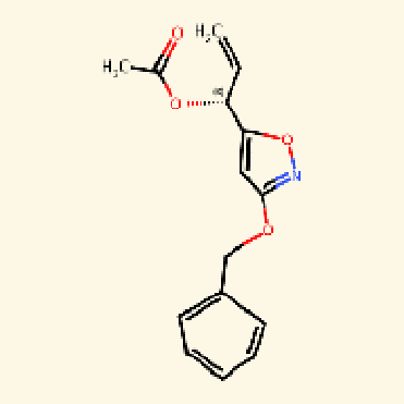 C=C[C@@H](OC(C)=O)c1cc(OCc2ccccc2)no1